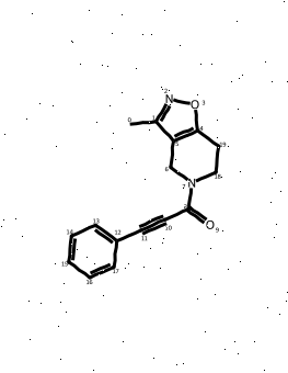 Cc1noc2c1CN(C(=O)C#Cc1ccccc1)CC2